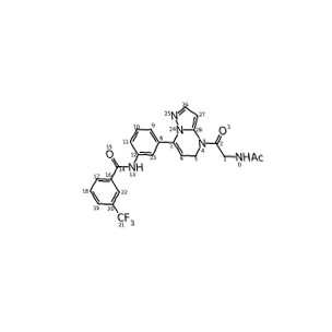 CC(=O)NCC(=O)N1CC=C(c2cccc(NC(=O)c3cccc(C(F)(F)F)c3)c2)n2nccc21